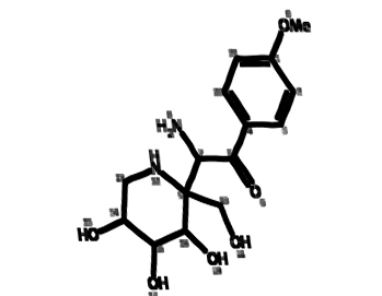 COc1ccc(C(=O)C(N)C2(CO)NCC(O)C(O)C2O)cc1